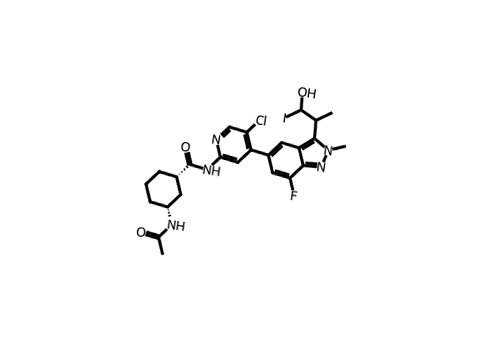 CC(=O)N[C@@H]1CCC[C@H](C(=O)Nc2cc(-c3cc(F)c4nn(C)c(C(C)C(O)I)c4c3)c(Cl)cn2)C1